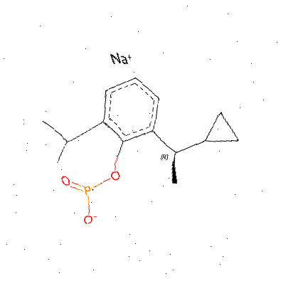 CC(C)c1cccc([C@H](C)C2CC2)c1O[P](=O)[O-].[Na+]